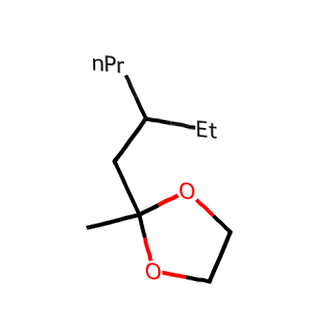 CCCC(CC)CC1(C)OCCO1